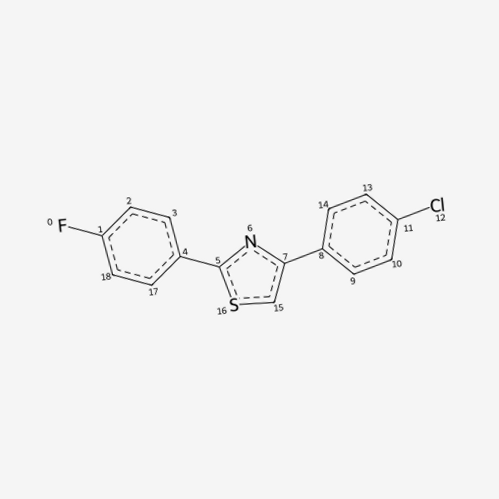 Fc1ccc(-c2nc(-c3ccc(Cl)cc3)cs2)cc1